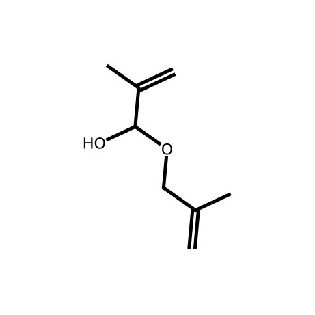 C=C(C)COC(O)C(=C)C